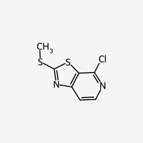 CSc1nc2ccnc(Cl)c2s1